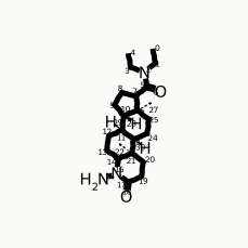 CCN(CC)C(=O)C1CC[C@H]2[C@@H]3CCC4N(N)C(=O)CC[C@]4(C)[C@@H]3CC[C@]12C